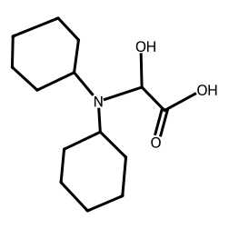 O=C(O)C(O)N(C1CCCCC1)C1CCCCC1